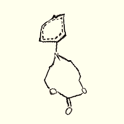 O=C1OCCN(c2ccccc2)CCO1